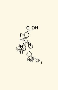 [2H]C([2H])([2H])Oc1nc(N[C@H]2CCN(C(=O)CO)C[C@H]2F)nn2ccc(-c3ccc4nnn(CC(F)(F)F)c4c3)c12